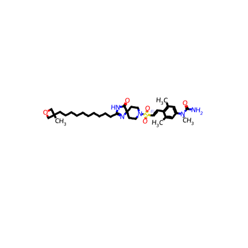 Cc1cc(N(C)C(N)=O)cc(C)c1/C=C/S(=O)(=O)N1CCC2(CC1)N=C(CCCCCCCCCCC1(C)COC1)NC2=O